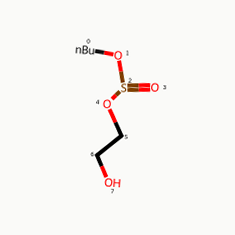 CCCCOS(=O)OCCO